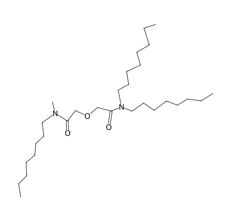 CCCCCCCCN(C)C(=O)COCC(=O)N(CCCCCCCC)CCCCCCCC